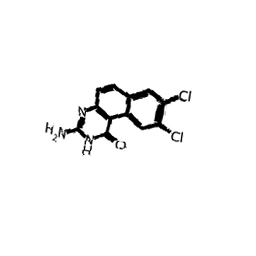 Nc1nc2ccc3cc(Cl)c(Cl)cc3c2c(=O)[nH]1